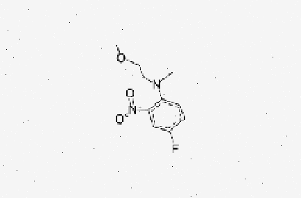 COCCN(C)c1ccc(F)cc1[N+](=O)[O-]